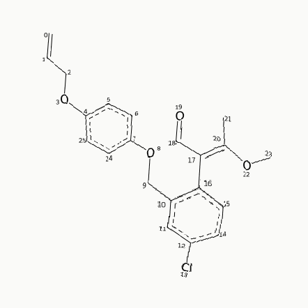 C=CCOc1ccc(OCc2cc(Cl)ccc2/C([C]=O)=C(/C)OC)cc1